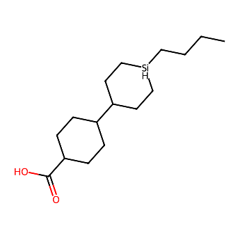 CCCC[SiH]1CCC(C2CCC(C(=O)O)CC2)CC1